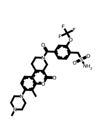 Cc1c(N2CCN(C)CC2)ccc2c3c(c(=O)oc12)CN(C(=O)c1ccc(CS(N)(=O)=O)c(OC(F)(F)F)c1)CC3